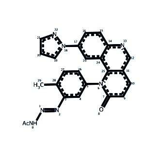 CC(=O)NN=Nc1cc(-n2c(=O)ccc3cnc4ccc(-n5cccn5)cc4c32)ccc1C